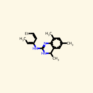 C/C=C(\C=C/CC)NC1=Nc2c(C)cc(C)cc2C(C)N1